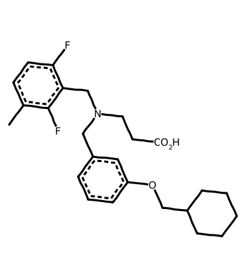 Cc1ccc(F)c(CN(CCC(=O)O)Cc2cccc(OCC3CCCCC3)c2)c1F